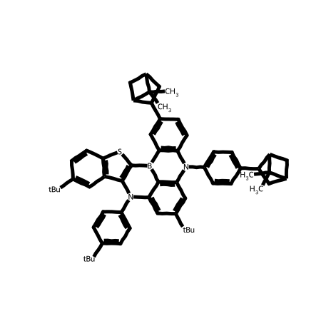 CC(C)(C)c1ccc(N2c3cc(C(C)(C)C)cc4c3B(c3cc(C5CC6CC5C6(C)C)ccc3N4c3ccc(C4CC5CC4C5(C)C)cc3)c3sc4ccc(C(C)(C)C)cc4c32)cc1